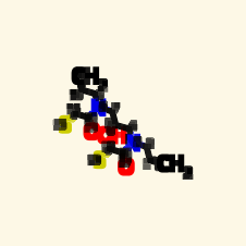 C=CCN(CC(O)CN(CC=C)C(=O)C=S)C(=O)C=S